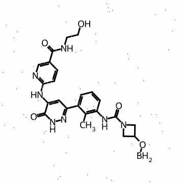 BOC1CN(C(=O)Nc2cccc(-c3cc(Nc4ccc(C(=O)NCCO)cn4)c(=O)[nH]n3)c2C)C1